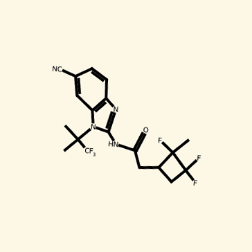 CC1(F)C(CC(=O)Nc2nc3ccc(C#N)cc3n2C(C)(C)C(F)(F)F)CC1(F)F